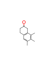 Cc1cc2c(c(C)c1C)CC(=O)CC2